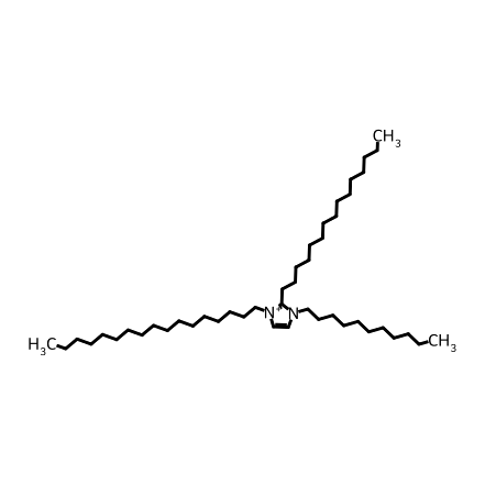 CCCCCCCCCCCCCCCCC[n+]1ccn(CCCCCCCCCCC)c1CCCCCCCCCCCCCCC